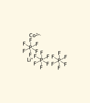 F[P-](F)(F)(F)(F)F.F[P-](F)(F)(F)(F)F.F[P-](F)(F)(F)(F)F.[Co+2].[Li+]